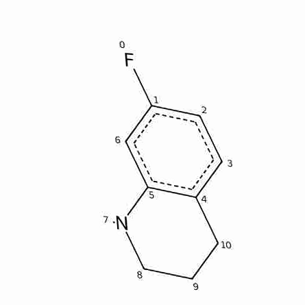 Fc1ccc2c(c1)[N]CCC2